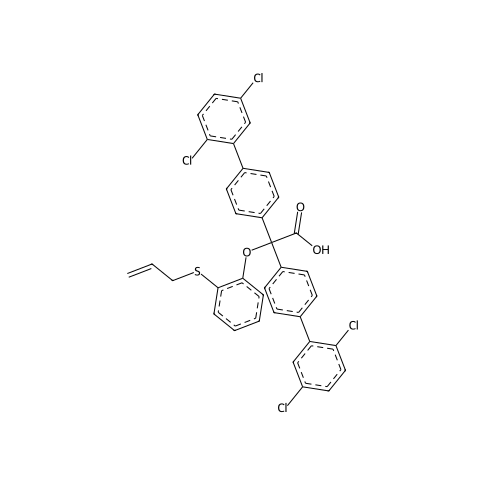 C=CCSc1ccccc1OC(C(=O)O)(c1ccc(-c2cc(Cl)ccc2Cl)cc1)c1ccc(-c2cc(Cl)ccc2Cl)cc1